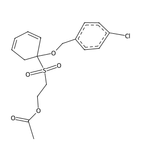 CC(=O)OCCS(=O)(=O)C1(OCc2ccc(Cl)cc2)C=CC=CC1